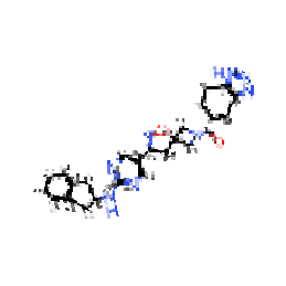 O=C([C@@H]1CCc2[nH]nnc2C1)N1CC2(CC(c3cnc(NC4Cc5ccccc5C4)nc3)=NO2)C1